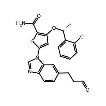 C[C@@H](Oc1cc(-n2cnc3ccc(CCC=O)cc32)sc1C(N)=O)c1ccccc1Cl